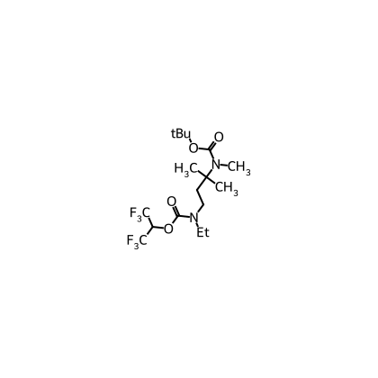 CCN(CCC(C)(C)N(C)C(=O)OC(C)(C)C)C(=O)OC(C(F)(F)F)C(F)(F)F